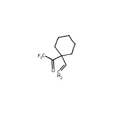 C=CC1(C(=O)C(F)(F)F)CCCCC1